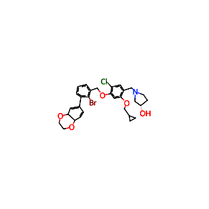 O[C@H]1CCN(Cc2cc(Cl)c(OCc3cccc(C4=CC5OCCOC5C=C4)c3Br)cc2OCC2CC2)C1